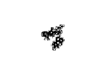 COC[C@@H](C)OC(=O)[C@H](Cc1ccc(-c2c(C)n(C)c(=O)n(C)c2=O)c2ccccc12)NC(=O)c1c(F)cc(N2CCOC[C@@H]2C(F)(F)F)cc1F